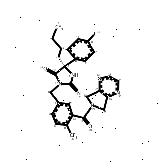 N=C1N[C@](CCCC(F)(F)F)(c2ccc(F)cc2)C(=O)N1Cc1ccc(C(F)(F)F)c(C(=O)N2Cc3nccnc3C2)c1